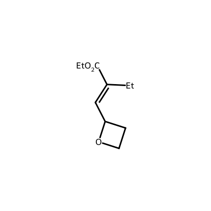 CCOC(=O)C(=CC1CCO1)CC